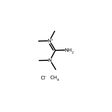 C.CN(C)C(N)=[N+](C)C.[Cl-]